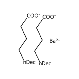 CCCCCCCCCCCCCC(=O)[O-].CCCCCCCCCCCCCC(=O)[O-].[Ba+2]